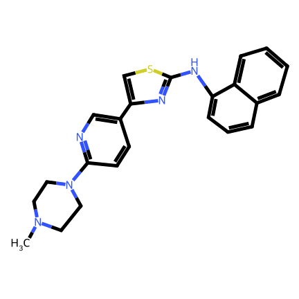 CN1CCN(c2ccc(-c3csc(Nc4cccc5ccccc45)n3)cn2)CC1